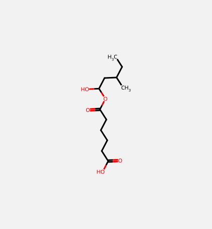 CCC(C)CC(O)OC(=O)CCCCC(=O)O